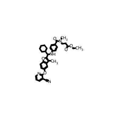 CCOC(=O)CCN(C)C(=O)c1ccc(NC(c2oc3ccc(Oc4ncccc4C#N)cc3c2C)C2CCCCC2)cc1